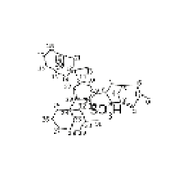 CC1C=C2CC(C1)CC(c1cc(C3(C)CC4CCCC(C4)C3)cc(C34CCCC(CC(C)C3)C4)c1S(=O)(=O)O)C2